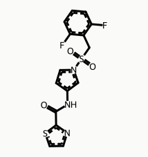 O=C(Nc1ccn(S(=O)(=O)Cc2c(F)cccc2F)c1)c1nccs1